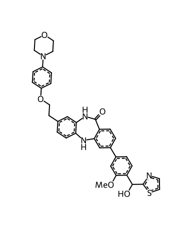 COc1cc(-c2ccc3c(c2)Nc2ccc(CCOc4ccc(N5CCOCC5)cc4)cc2NC3=O)ccc1C(O)c1nccs1